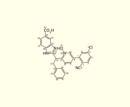 N#Cc1ccc(Cl)cc1-c1ccc(C(Cc2ccccc2)c2nc3cc(C(=O)O)ccc3[nH]2)[n+](O)c1